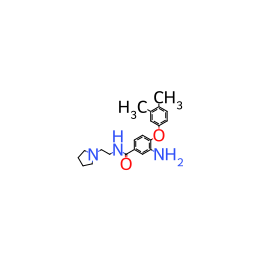 Cc1ccc(Oc2ccc(C(=O)NCCN3CCCC3)cc2N)cc1C